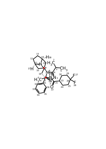 Cc1nnc(C(C)C)n1C1C[C@H]2CC[C@@H](C1)N2CC[C@H](NC(=O)C1CCC(F)(F)CC1)c1ccccc1